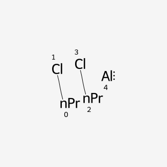 CCCCl.CCCCl.[Al]